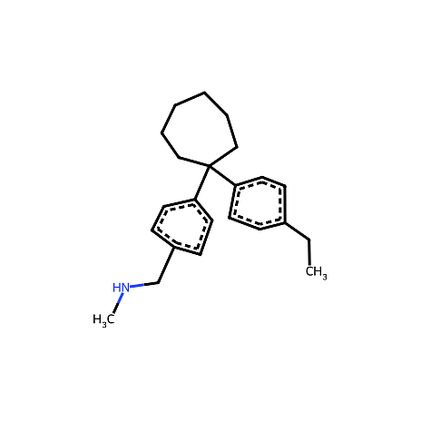 CCc1ccc(C2(c3ccc(CNC)cc3)CCCCCC2)cc1